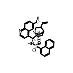 C=CC1CN2CCC1C[C@H]2[C@@H](NS(=O)(=O)c1cccc2ccccc12)c1ccnc2ccc(OC)cc12